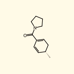 C[C@@H]1C=CC(C(=O)N2CCCC2)=CC1